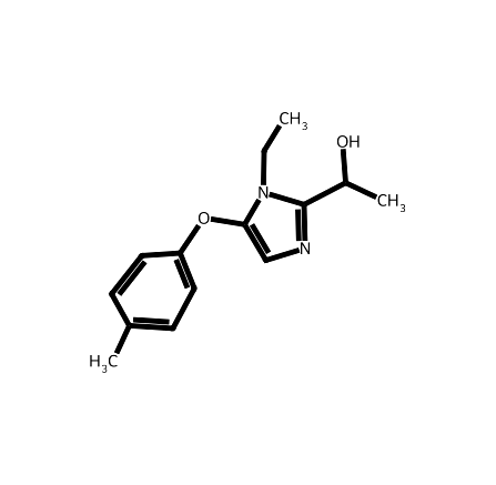 CCn1c(Oc2ccc(C)cc2)cnc1C(C)O